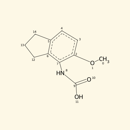 COc1ccc2c(c1NC(=O)O)CCC2